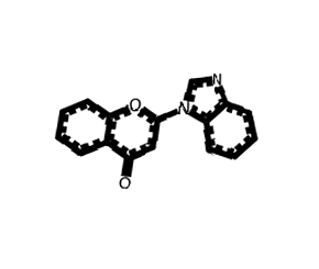 O=c1cc(-n2cnc3ccccc32)oc2ccccc12